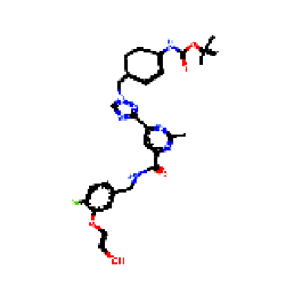 Cc1nc(C(=O)NCc2ccc(F)c(OCCO)c2)cc(-c2ncn(CC3CCC(NC(=O)OC(C)(C)C)CC3)n2)n1